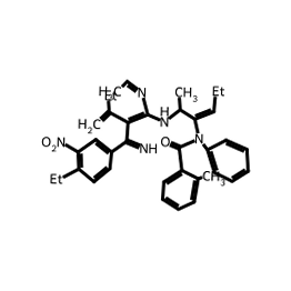 C=C(CC)/C(C(=N)c1ccc(CC)c([N+](=O)[O-])c1)=C(\N=C/C)NC(C)/C(=C\CC)N(C(=O)c1ccccc1C)c1ccccc1